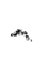 Cn1c(SCCCN2CCC3(CC3c3ccc(C(F)(F)F)cc3)C2)nnc1-c1cnc(-c2cccnc2)o1